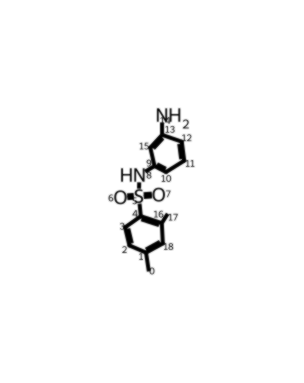 Cc1ccc(S(=O)(=O)Nc2cccc(N)c2)c(C)c1